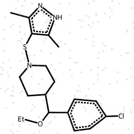 CCOC(c1ccc(Cl)cc1)C1CCN(Sc2c(C)n[nH]c2C)CC1